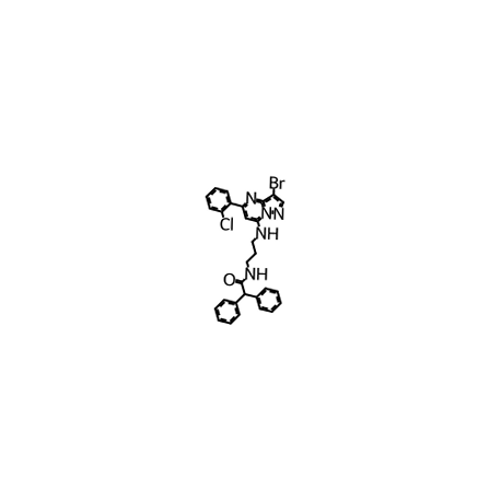 O=C(NCCCNc1cc(-c2ccccc2Cl)nc2c(Br)cnn12)C(c1ccccc1)c1ccccc1